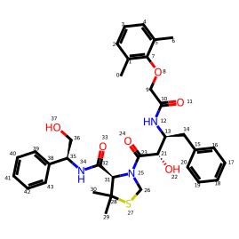 Cc1cccc(C)c1OCC(=O)N[C@@H](Cc1ccccc1)[C@H](O)C(=O)N1CSC(C)(C)[C@H]1C(=O)N[C@H](CO)c1ccccc1